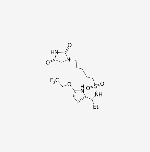 CCC(NS(=O)(=O)CCCCCN1CC(=O)NC1=O)c1ccc(OCC(F)(F)F)[nH]1